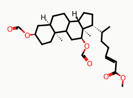 COC(=O)C=CCCC(C)[C@H]1CC[C@H]2C3CC[C@@H]4C[C@H](OC=O)CC[C@]4(C)C3C[C@H](OC=O)[C@]12C